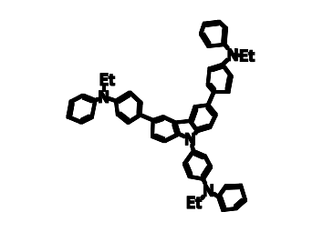 CCN(c1ccccc1)c1ccc(-c2ccc3c(c2)c2cc(-c4ccc(N(CC)c5ccccc5)cc4)ccc2n3-c2ccc(N(CC)c3ccccc3)cc2)cc1